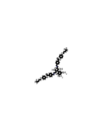 Nc1cc(N)cc(C(C(O)C(=O)/C=C/c2ccc(C(=O)Oc3ccc(OCCCC(F)(F)F)cc3)cc2)C(O)C(=O)/C=C/c2ccc(C(=O)Oc3ccc(OCCCC(F)(F)F)cc3)cc2)c1